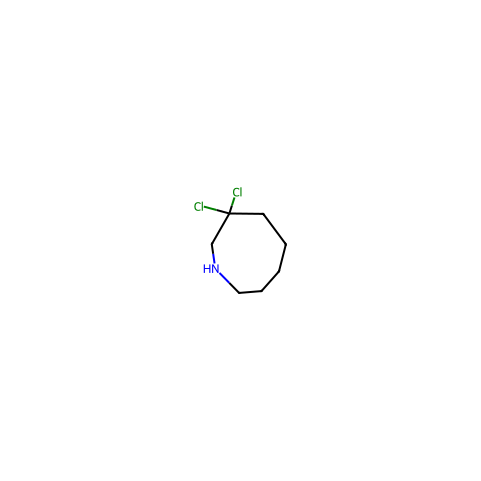 ClC1(Cl)CCCCCNC1